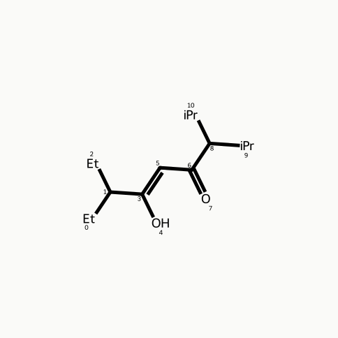 CCC(CC)/C(O)=C/C(=O)C(C(C)C)C(C)C